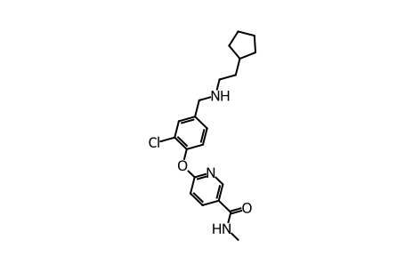 CNC(=O)c1ccc(Oc2ccc(CNCCC3CCCC3)cc2Cl)nc1